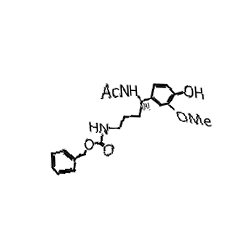 COc1cc([C@@H](CCCNC(=O)OCc2ccccc2)NC(C)=O)ccc1O